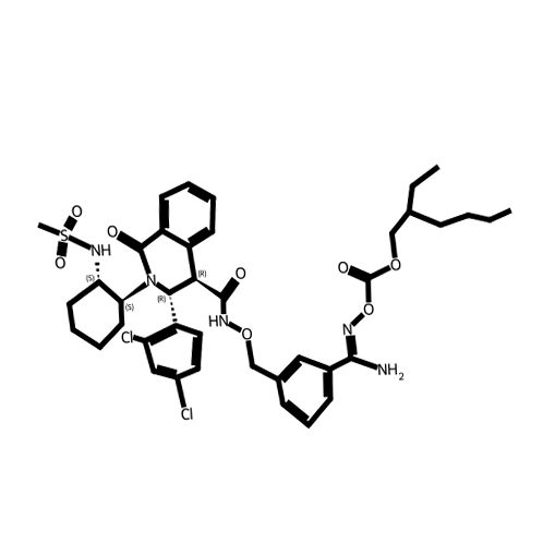 CCCCC(CC)COC(=O)ON=C(N)c1cccc(CONC(=O)[C@@H]2c3ccccc3C(=O)N([C@H]3CCCC[C@@H]3NS(C)(=O)=O)[C@H]2c2ccc(Cl)cc2Cl)c1